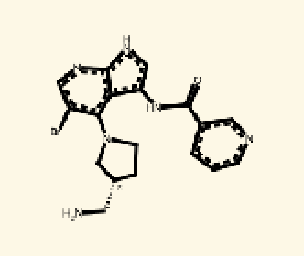 NC[C@H]1CCN(c2c(Br)cnc3[nH]cc(NC(=O)c4cccnc4)c23)C1